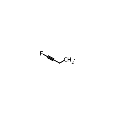 [CH2]CC#CF